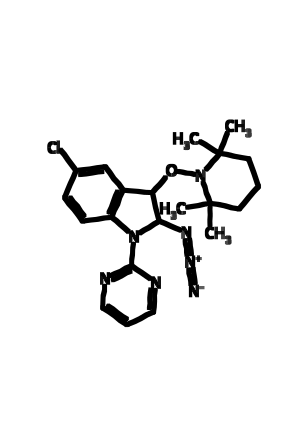 CC1(C)CCCC(C)(C)N1OC1c2cc(Cl)ccc2N(c2ncccn2)C1N=[N+]=[N-]